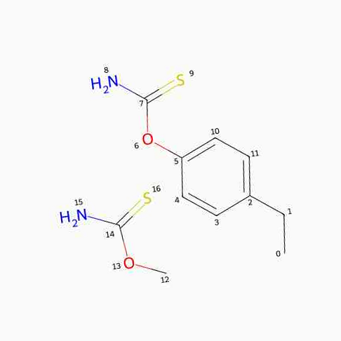 CCc1ccc(OC(N)=S)cc1.COC(N)=S